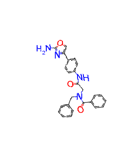 Nc1nc(-c2ccc(NC(=O)CN(Cc3ccccc3)C(=O)c3ccccc3)cc2)co1